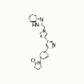 O=C1CCCN1c1ccc(-c2cncc(-c3ccn(Cc4nc5ccccc5[nH]4)c3)c2)cc1